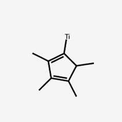 CC1=C(C)C(C)[C]([Ti])=C1C